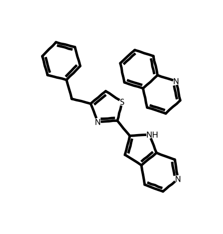 c1ccc(Cc2csc(-c3cc4ccncc4[nH]3)n2)cc1.c1ccc2ncccc2c1